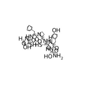 NC(=O)[C@H](CO)NC(=O)[C@H](Cc1ccc(O)cc1)NC(=O)[C@H](CS)NC(=O)[C@@H]1CCCN1C(=O)[C@H](Cc1ccccc1)NC(=O)[C@@H](N)[C@@H](S)C(=O)O